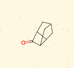 O=C1C2CC3CC1C2C3